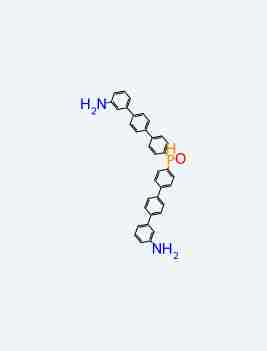 Nc1cccc(-c2ccc(-c3ccc([PH](=O)c4ccc(-c5ccc(-c6cccc(N)c6)cc5)cc4)cc3)cc2)c1